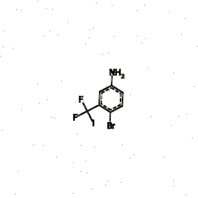 Nc1ccc(Br)c(C(F)(F)I)c1